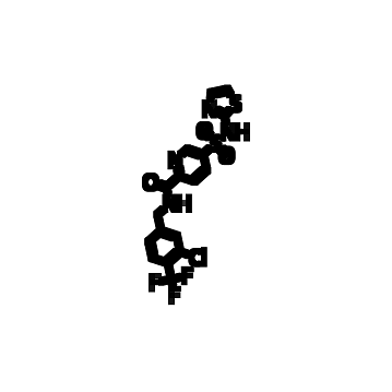 O=C(NCc1ccc(C(F)(F)F)c(Cl)c1)c1ccc(S(=O)(=O)Nc2nccs2)cn1